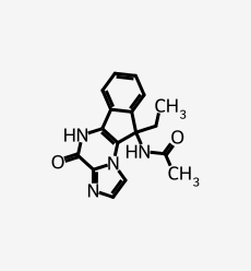 CCC1(NC(C)=O)c2ccccc2-c2[nH]c(=O)c3nccn3c21